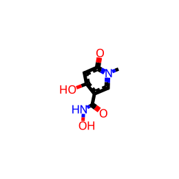 Cn1cc(C(=O)NO)c(O)cc1=O